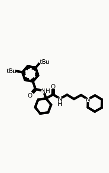 CC(C)(C)c1cc(C(=O)NC2(C(=O)NCCCN3CCCCC3)CCCCC2)cc(C(C)(C)C)c1